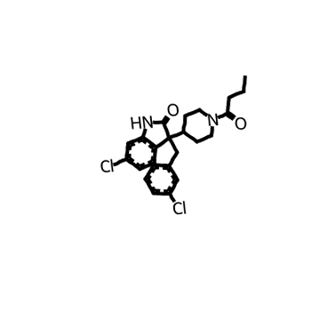 CCCC(=O)N1CCC(C2(Cc3cccc(Cl)c3)C(=O)Nc3cc(Cl)ccc32)CC1